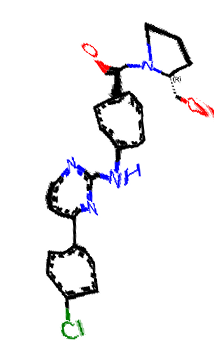 O=C(c1ccc(Nc2nccc(-c3ccc(Cl)cc3)n2)cc1)N1CCC[C@@H]1CO